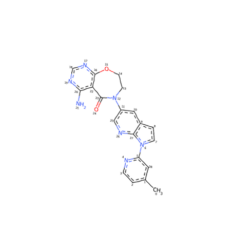 Cc1ccnc(-n2ccc3cc(N4CCOc5ncnc(N)c5C4=O)cnc32)c1